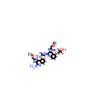 CCOCc1nc2c(N)nc3cccc(OC(C)CNc4nc5cccc(OCC(C)(C)O)c5c5c4nc(COCC)n5C)c3c2n1C